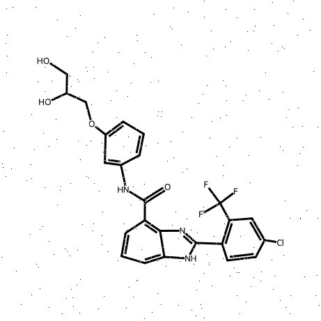 O=C(Nc1cccc(OCC(O)CO)c1)c1cccc2[nH]c(-c3ccc(Cl)cc3C(F)(F)F)nc12